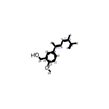 C=C(C)/C(C)=C\C=C(/C)c1ccc(OC)c(CO)c1